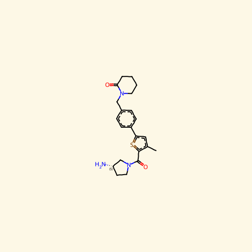 Cc1cc(-c2ccc(CN3CCCCC3=O)cc2)sc1C(=O)N1CC[C@H](N)C1